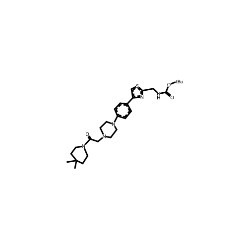 CC1(C)CCN(C(=O)CN2CCN(c3ccc(-c4csc(CNC(=O)OC(C)(C)C)n4)cc3)CC2)CC1